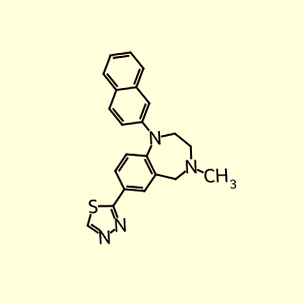 CN1CCN(c2ccc3ccccc3c2)c2ccc(-c3nncs3)cc2C1